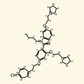 CCCCn1c(-c2ccc(OCCc3ccc(Cl)cc3)cc2OCCN2CCCC2)nc2ccc(OCCN3CCCC3)cc21